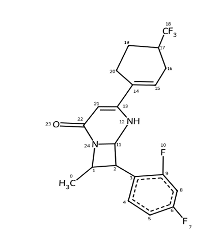 CC1C(c2ccc(F)cc2F)C2NC(C3=CCC(C(F)(F)F)CC3)=CC(=O)N12